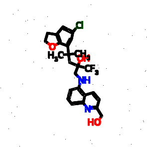 CC(C)(CC(O)(CNc1cccc2nc(CO)ccc12)C(F)(F)F)c1cc(Cl)cc2c1OCC2